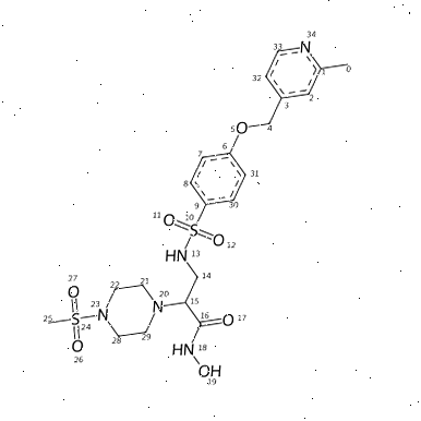 Cc1cc(COc2ccc(S(=O)(=O)NCC(C(=O)NO)N3CCN(S(C)(=O)=O)CC3)cc2)ccn1